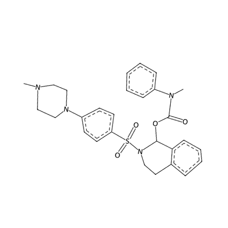 CN1CCN(c2ccc(S(=O)(=O)N3CCc4ccccc4C3OC(=O)N(C)c3ccccc3)cc2)CC1